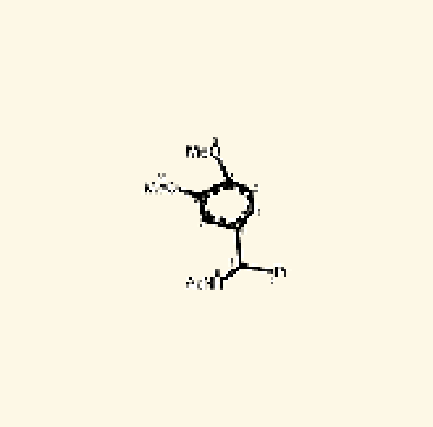 COc1ccc(C(NC(C)=O)C(C)C)cc1OC